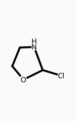 Cl[C]1NCCO1